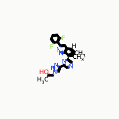 C[C@H](O)Cn1cc(-c2cncc([C@@]34CC[C@@H](c5cc(-c6c(F)cccc6F)nnc53)C4(C)C)n2)nn1